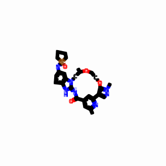 Cc1cc2cc(n1)-c1cnn(C)c1OCCOC(C)CN1/C(=N/C2=O)Nc2ccc(N=S3(=O)CCCC3)cc21